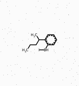 CCCC(C)c1ccccc1BI